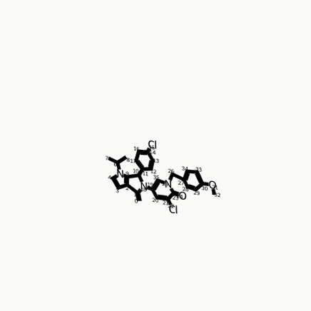 C=C1c2ccn(C(C)C)c2C(c2ccc(Cl)cc2)N1c1cc(Cl)c(=O)n(Cc2ccc(OC)cc2)c1